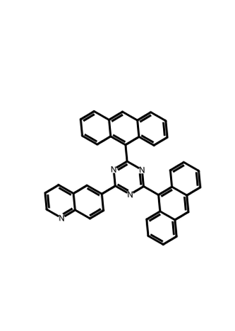 c1cnc2ccc(-c3nc(-c4c5ccccc5cc5ccccc45)nc(-c4c5ccccc5cc5ccccc45)n3)cc2c1